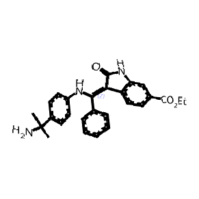 CCOC(=O)c1ccc2c(c1)NC(=O)/C2=C(\Nc1ccc(C(C)(C)N)cc1)c1ccccc1